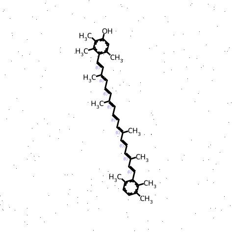 CC(/C=C/C=C(C)/C=C/c1c(C)ccc(C)c1C)=C\C=C\C=C(C)\C=C\C=C(C)\C=C\c1c(C)cc(O)c(C)c1C